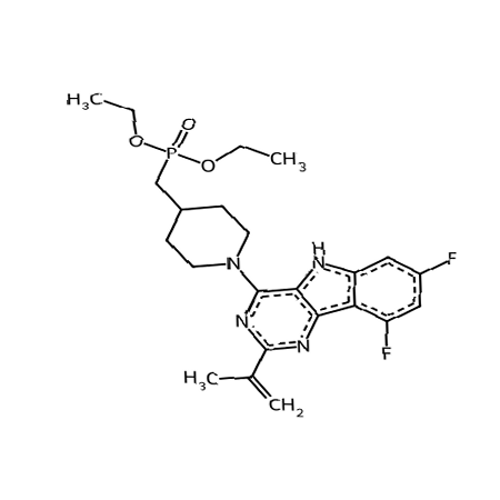 C=C(C)c1nc(N2CCC(CP(=O)(OCC)OCC)CC2)c2[nH]c3cc(F)cc(F)c3c2n1